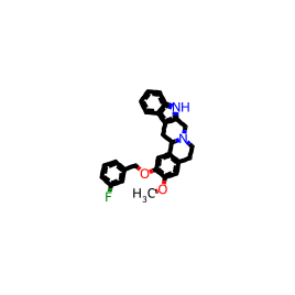 COc1cc2c(cc1OCc1cccc(F)c1)C1Cc3c([nH]c4ccccc34)CN1CC2